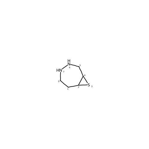 C1CC2SC2CNN1